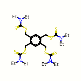 CCN(CC)C(=S)SCc1cc(CSC(=S)N(CC)CC)c(CSC(=S)N(CC)CC)cc1CSC(=S)N(CC)CC